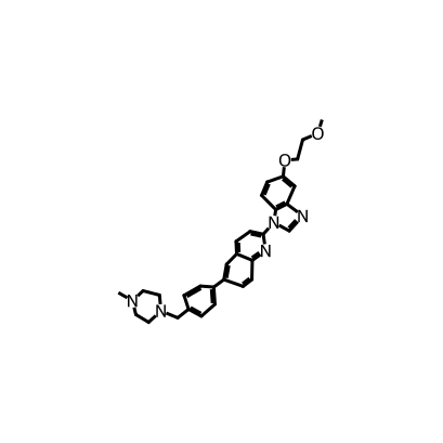 COCCOc1ccc2c(c1)ncn2-c1ccc2cc(-c3ccc(CN4CCN(C)CC4)cc3)ccc2n1